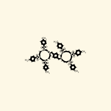 Cc1ccc(S(=O)(=O)N2CCCN(S(=O)(=O)c3ccc(C)cc3)CCN(S(=O)(=O)c3ccc(C)cc3)CCCN(Cc3ccc(CN4CCCN(S(=O)(=O)c5ccc(C)cc5)CCN(S(=O)(=O)c5ccc(C)cc5)CCCN(S(=O)(=O)c5ccc(C)cc5)CC4)cc3)CC2)cc1